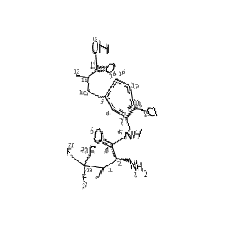 CC([C@H](N)C(=O)Nc1cc(C[C@@H](C)C(=O)O)ccc1Cl)C(F)(F)F